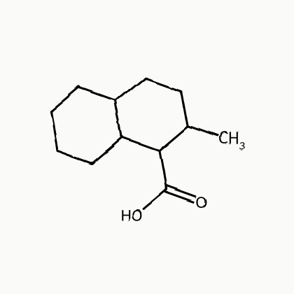 CC1CCC2CCCCC2C1C(=O)O